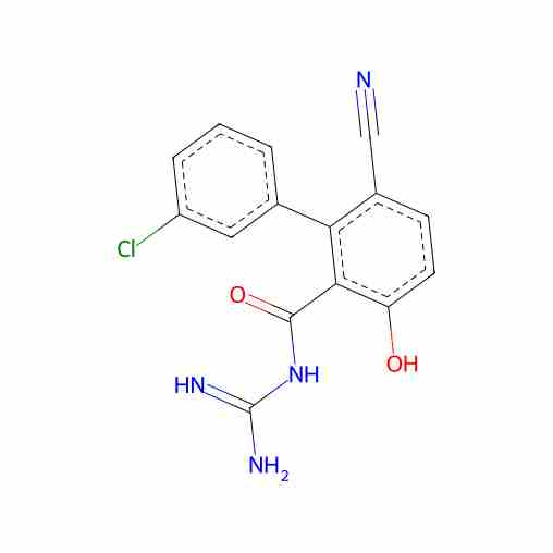 N#Cc1ccc(O)c(C(=O)NC(=N)N)c1-c1cccc(Cl)c1